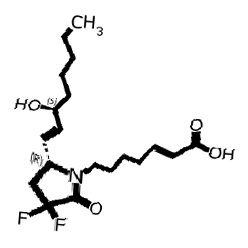 CCCCC[C@H](O)C=C[C@H]1CC(F)(F)C(=O)N1CCCCCCC(=O)O